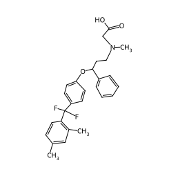 Cc1ccc(C(F)(F)c2ccc(OC(CCN(C)CC(=O)O)c3ccccc3)cc2)c(C)c1